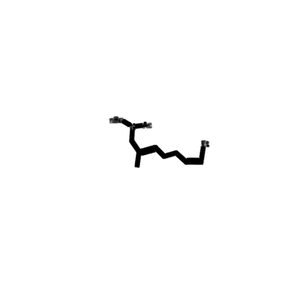 CC/C=C\CC/C=C(\C)CN(CCCC)C(C)=O